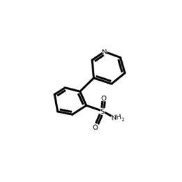 NS(=O)(=O)c1[c]cccc1-c1cccnc1